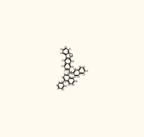 c1ccc(-c2ccc(N(c3ccc4ccccc4c3)c3ccc4cc5c(cc4c3)oc3ccccc35)c3ccccc23)cc1